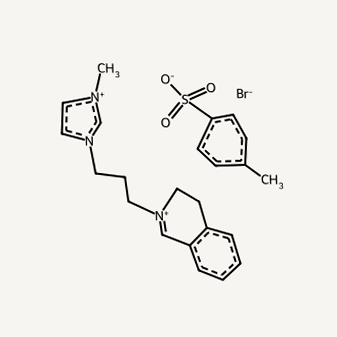 C[n+]1ccn(CCC[N+]2=Cc3ccccc3CC2)c1.Cc1ccc(S(=O)(=O)[O-])cc1.[Br-]